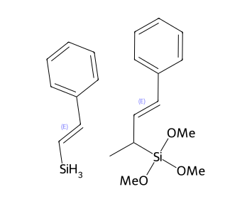 CO[Si](OC)(OC)C(C)/C=C/c1ccccc1.[SiH3]/C=C/c1ccccc1